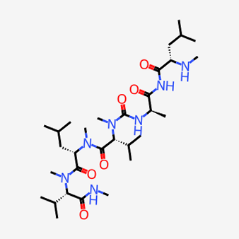 CNC(=O)[C@H](C(C)C)N(C)C(=O)[C@H](CC(C)C)N(C)C(=O)[C@@H](C(C)C)N(C)C(=O)N[C@H](C)C(=O)NC(=O)[C@H](CC(C)C)NC